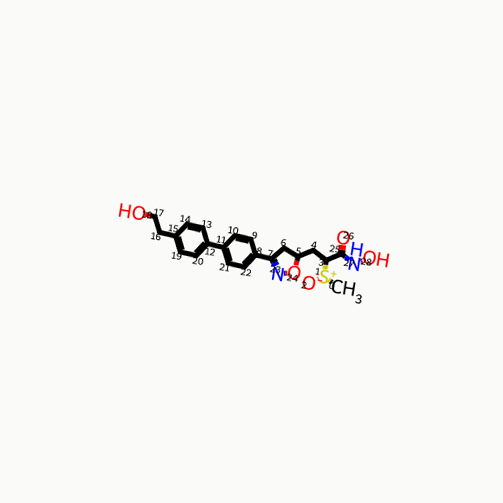 C[S+]([O-])C(CC1CC(c2ccc(-c3ccc(CCO)cc3)cc2)=NO1)C(=O)NO